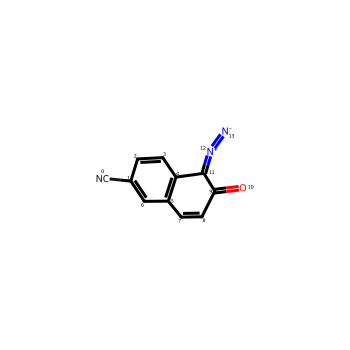 N#Cc1ccc2c(c1)C=CC(=O)C2=[N+]=[N-]